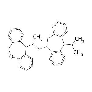 CC(C)C1c2ccccc2CC(CC(C)C2c3ccccc3COc3ccccc32)c2ccccc21